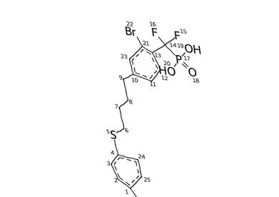 CC(=O)Nc1ccc(SCCCCc2ccc(C(F)(F)P(=O)(O)O)c(Br)c2)cc1